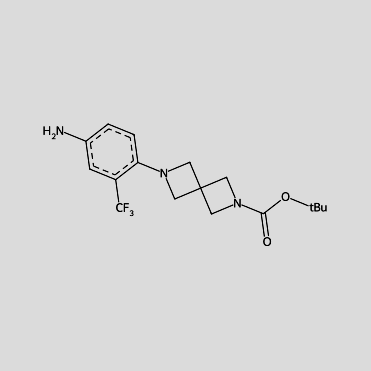 CC(C)(C)OC(=O)N1CC2(C1)CN(c1ccc(N)cc1C(F)(F)F)C2